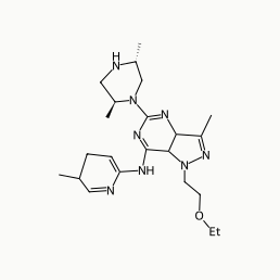 CCOCCN1N=C(C)C2N=C(N3C[C@@H](C)NC[C@@H]3C)N=C(NC3=CCC(C)C=N3)C21